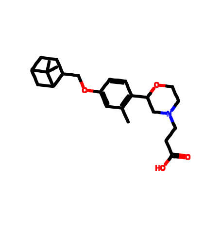 Cc1cc(OCC2CCC3CC2C3(C)C)ccc1C1CN(CCC(=O)O)CCO1